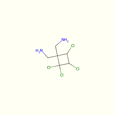 NCC1(CN)C(Cl)C(Cl)C1(Cl)Cl